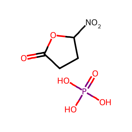 O=C1CCC([N+](=O)[O-])O1.O=P(O)(O)O